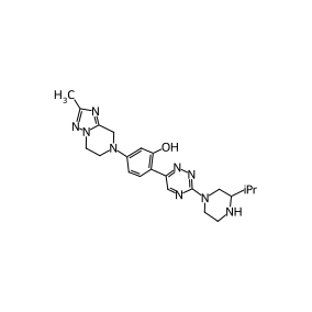 Cc1nc2n(n1)CCN(c1ccc(-c3cnc(N4CCNC(C(C)C)C4)nn3)c(O)c1)C2